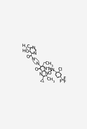 CCc1c(N2CCN(C(=O)c3ncnc(C)c3O)CC2)c(=O)c2nc(C3CC3)c(C)nc2n1CC(=O)Nc1ccc(C(F)(F)F)cc1Cl